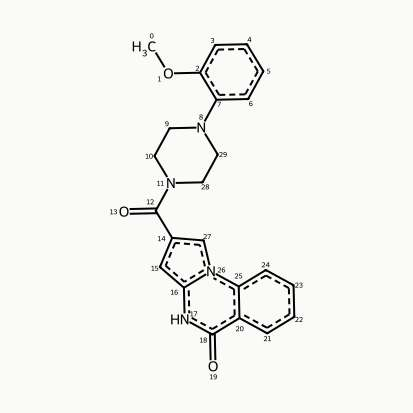 COc1ccccc1N1CCN(C(=O)c2cc3[nH]c(=O)c4ccccc4n3c2)CC1